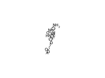 CC(C)(C)OC(=O)CCCCOc1ccc(Nc2c(C(N)=O)c(C3C=CC(N)=CC3)nn2C(C)(C)C)nc1